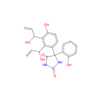 C=CC(O)c1c(O)ccc(C2(c3ccccc3O)NC(=O)NC2=O)c1C(O)C=C